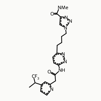 CNC(=O)c1cn(CCCCc2ccc(NC(=O)Cc3cc(C(C)C(F)(F)F)ccn3)nn2)nn1